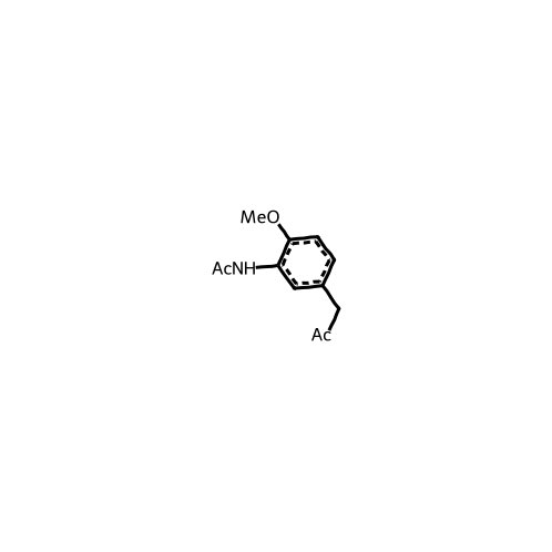 COc1ccc(CC(C)=O)cc1NC(C)=O